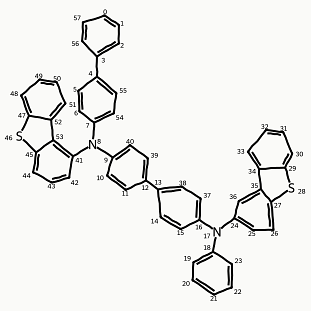 c1ccc(-c2ccc(N(c3ccc(-c4ccc(N(c5ccccc5)c5ccc6sc7ccccc7c6c5)cc4)cc3)c3cccc4sc5ccccc5c34)cc2)cc1